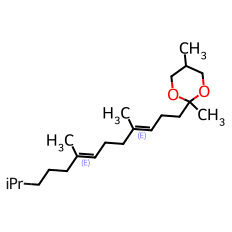 C/C(=C\CCC1(C)OCC(C)CO1)CC/C=C(\C)CCCC(C)C